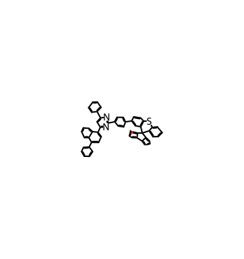 c1ccc(-c2cc(-c3ccc(-c4ccccc4)c4ccccc34)nc(-c3ccc(-c4ccc5c(c4)C4(c6ccccc6S5)c5ccccc5-c5ccccc54)cc3)n2)cc1